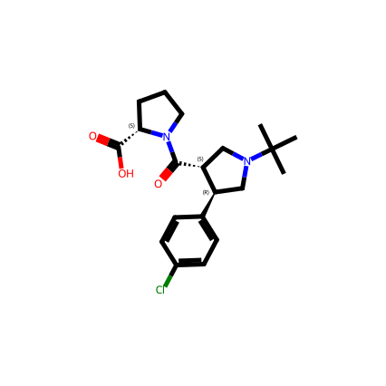 CC(C)(C)N1C[C@@H](C(=O)N2CCC[C@H]2C(=O)O)[C@H](c2ccc(Cl)cc2)C1